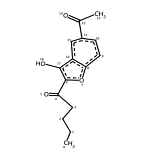 CCCCC(=O)c1oc2ccc(C(C)=O)cc2c1O